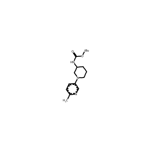 Cc1ccc(N2CCCC(NC(=O)OC(C)(C)C)C2)cn1